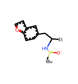 CCC(Cc1ccc2occc2c1)N[S@@+]([O-])C(C)(C)C